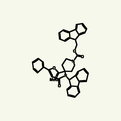 COC(=O)N(C1c2ccccc2-c2ccccc21)C1(c2ncc(-c3ccccc3)o2)CCN(C(=O)OCC2c3ccccc3-c3ccccc32)CC1